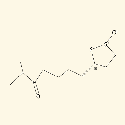 CC(C)C(=O)CCCC[C@H]1CC[S+]([O-])S1